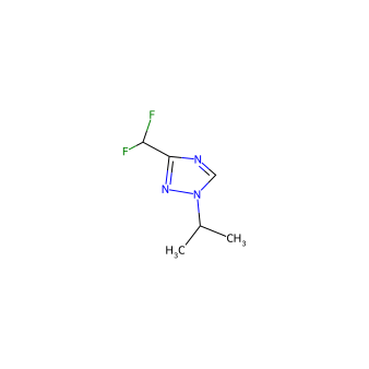 CC(C)n1cnc(C(F)F)n1